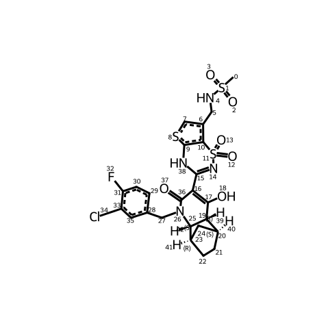 CS(=O)(=O)NCc1csc2c1S(=O)(=O)N=C(C1=C(O)[C@@H]3[C@H]4CC[C@H](C4)[C@@H]3N(Cc3ccc(F)c(Cl)c3)C1=O)N2